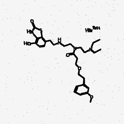 Br.Br.CCN(CC)CCN(CCNCCc1ccc(O)c2[nH]c(=O)sc12)C(=O)CCOCCc1cccc(OC)c1